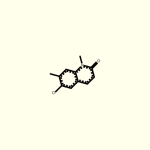 Cc1cc2c(ccc(=O)n2C)cc1Cl